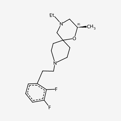 CCN1C[C@@H](C)OC2(CCN(CCc3cccc(F)c3F)CC2)C1